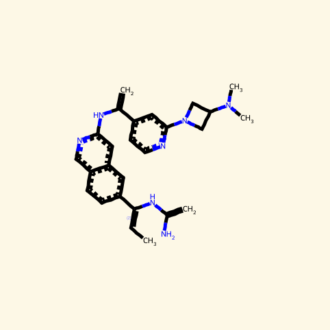 C=C(N)N/C(=C\C)c1ccc2cnc(NC(=C)c3ccnc(N4CC(N(C)C)C4)c3)cc2c1